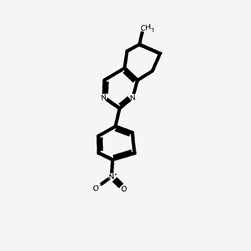 CC1CCc2nc(-c3ccc([N+](=O)[O-])cc3)ncc2C1